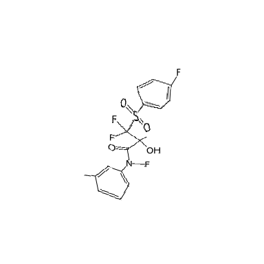 Cc1cccc(N(F)C(=O)C(C)(O)C(F)(F)S(=O)(=O)c2ccc(F)cc2)c1